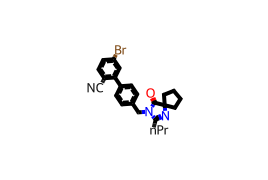 CCCC1=NC2(CCCC2)C(=O)N1Cc1ccc(-c2cc(Br)ccc2C#N)cc1